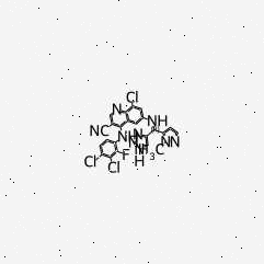 Cn1nccc1[C@H](Nc1cc(Cl)c2ncc(C#N)c(Nc3ccc(Cl)c(Cl)c3F)c2c1)c1c[nH]nn1